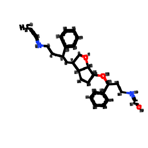 C=C=NCCC(CC1COC2C(OC(CCN=C=O)c3ccccc3)CCC12)c1ccccc1